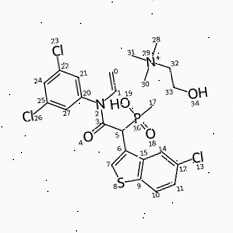 C=CN(C(=O)C(c1csc2ccc(Cl)cc12)P(C)(=O)O)c1cc(Cl)cc(Cl)c1.C[N+](C)(C)CCO